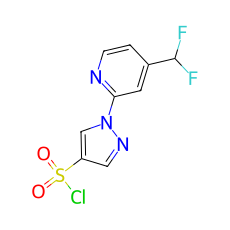 O=S(=O)(Cl)c1cnn(-c2cc(C(F)F)ccn2)c1